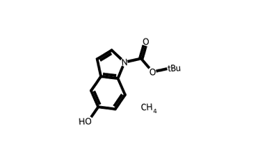 C.CC(C)(C)OC(=O)n1ccc2cc(O)ccc21